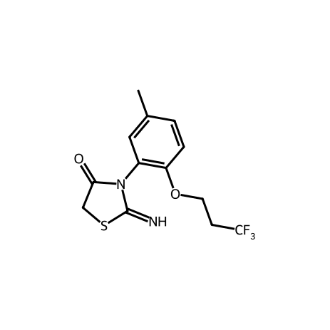 Cc1ccc(OCCC(F)(F)F)c(N2C(=N)SCC2=O)c1